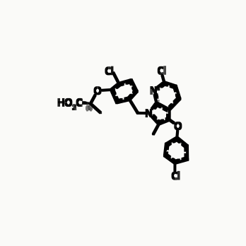 Cc1c(Oc2ccc(Cl)cc2)c2ccc(Cl)nc2n1Cc1ccc(Cl)c(O[C@@H](C)C(=O)O)c1